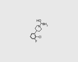 BC(O)N1CCC(c2cccc(F)c2Cl)CC1